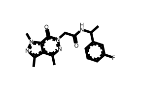 Cc1nn(CC(=O)NC(C)c2cccc(F)c2)c(=O)c2c1c(C)nn2C